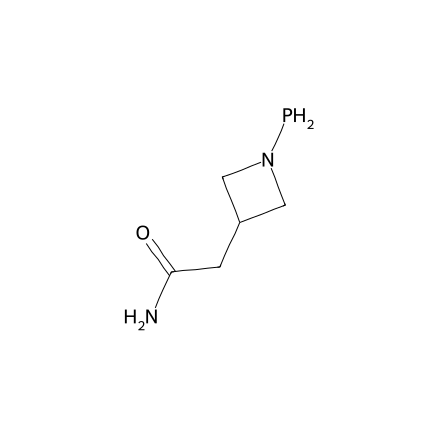 NC(=O)CC1CN(P)C1